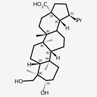 CC(C)[C@@H]1CC[C@]2(C(=O)O)CC[C@]3(C)C(CC[C@@H]4[C@@]5(C)CC[C@H](O)[C@@](C)(CO)[C@@H]5CC[C@]43C)[C@@H]12